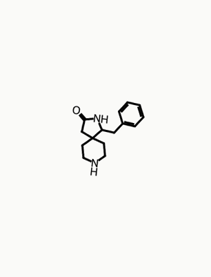 O=C1CC2(CCNCC2)C(Cc2ccccc2)N1